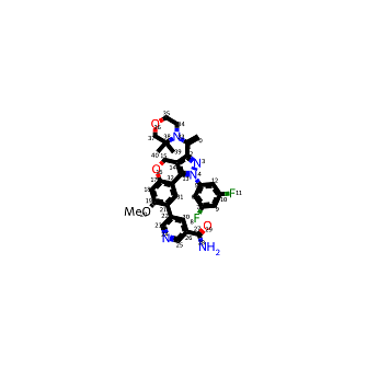 C=C(c1nn(-c2cc(F)cc(F)c2)c2c1COc1cc(OC)c(-c3cncc(C(N)=O)c3)cc1-2)N1CCOCC1(C)C